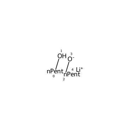 CCCCCO.CCCCC[O-].[Li+]